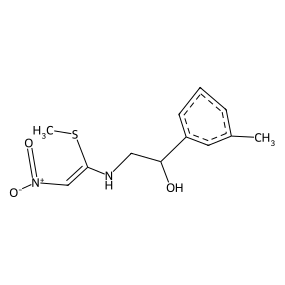 CSC(=C[N+](=O)[O-])NCC(O)c1cccc(C)c1